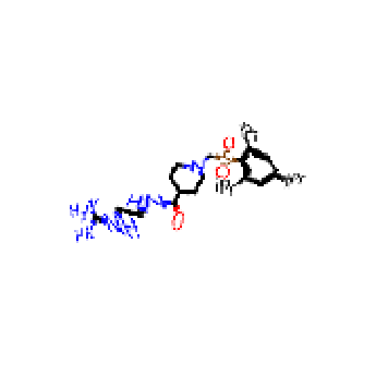 CC(C)c1cc(C(C)C)c(S(=O)(=O)CN2CCC(C(=O)NCCNC(=N)N)CC2)c(C(C)C)c1